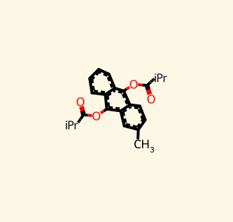 Cc1ccc2c(OC(=O)C(C)C)c3ccccc3c(OC(=O)C(C)C)c2c1